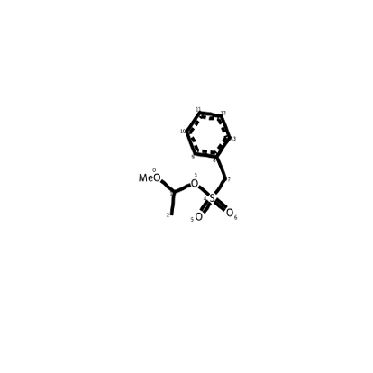 COC(C)OS(=O)(=O)Cc1ccccc1